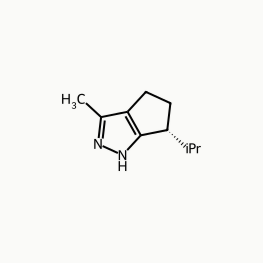 Cc1n[nH]c2c1CC[C@@H]2C(C)C